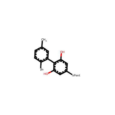 CCCCCc1cc(O)c(-c2cc(C)ccc2C(C)C)c(O)c1